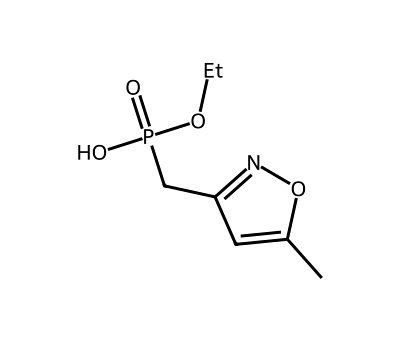 CCOP(=O)(O)Cc1cc(C)on1